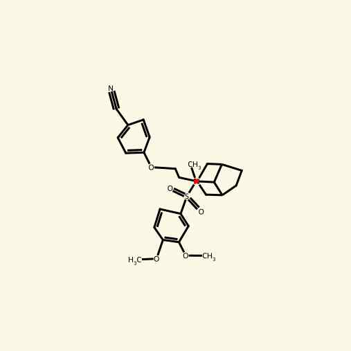 COc1ccc(S(=O)(=O)N(C)C2C3CCC2CN(CCOc2ccc(C#N)cc2)C3)cc1OC